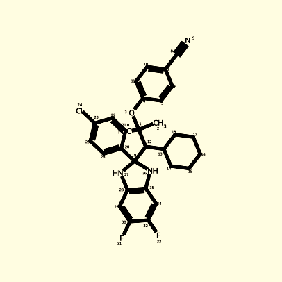 CC(C)(Oc1ccc(C#N)cc1)C(C1CCCCC1)C1(c2ccc(Cl)cc2)Nc2cc(F)c(F)cc2N1